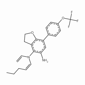 C=CN(/C=C\CCC)c1c(N)cc(-c2ccc(OC(F)(F)F)cc2)c2c1CCO2